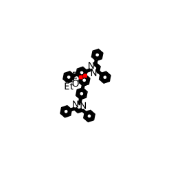 CCc1cccc(-c2ccc(-c3nc(-c4ccccc4)cc(-c4ccccc4)n3)cc2)c1Oc1c(CC)cccc1-c1ccc(-c2nc(-c3ccccc3)cc(-c3ccccc3)n2)cc1